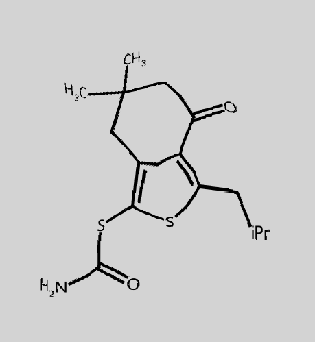 CC(C)Cc1sc(SC(N)=O)c2c1C(=O)CC(C)(C)C2